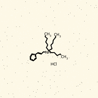 CCCCCCC(CCCCC)(CCCCCC)NCC=Cc1ccccc1.Cl